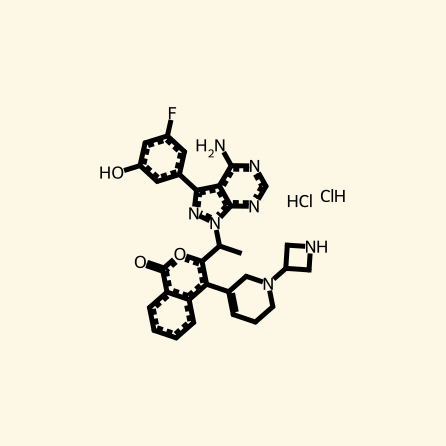 CC(c1oc(=O)c2ccccc2c1C1=CCCN(C2CNC2)C1)n1nc(-c2cc(O)cc(F)c2)c2c(N)ncnc21.Cl.Cl